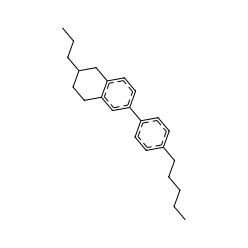 CCCCCc1ccc(-c2ccc3c(c2)CCC(CCC)C3)cc1